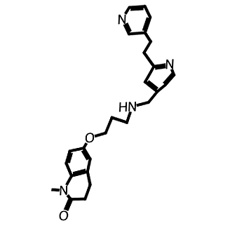 CN1C(=O)CCc2cc(OCCCNCc3ccnc(CCc4cccnc4)c3)ccc21